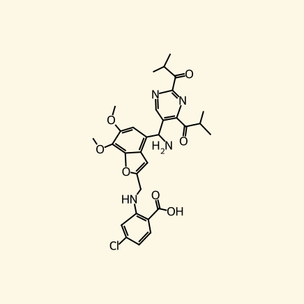 COc1cc(C(N)c2cnc(C(=O)C(C)C)nc2C(=O)C(C)C)c2cc(CNc3cc(Cl)ccc3C(=O)O)oc2c1OC